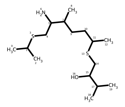 CC(C)SCC(N)C(C)CCC(C)SCC(O)C(C)C